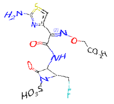 Nc1nc(/C(=N/OCC(=O)O)C(=O)NC2C(=O)N(S(=O)(=O)O)C2CF)cs1